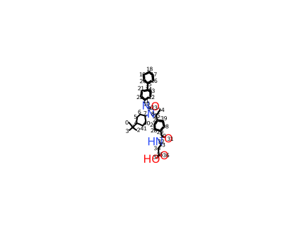 CC(C)(C)C1CCC(N2C(=Nc3ccc(-c4ccccc4)cc3)OCC2c2ccc(C(=O)NCCC(=O)O)cc2)CC1